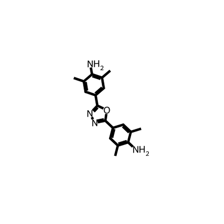 Cc1cc(-c2nnc(-c3cc(C)c(N)c(C)c3)o2)cc(C)c1N